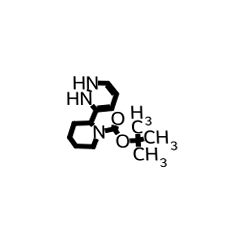 CC(C)(C)OC(=O)N1CCCCC1C1=CC=CNN1